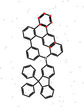 c1ccc(-c2ccccc2-c2c(-c3ccccc3)cccc2-c2cccc(N(c3ccccc3)c3ccc4c(c3)C(c3ccccc3)(c3ccccc3)c3ccccc3-4)c2)cc1